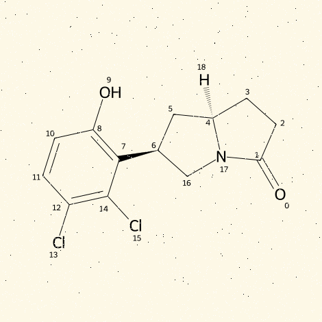 O=C1CC[C@@H]2C[C@H](c3c(O)ccc(Cl)c3Cl)CN12